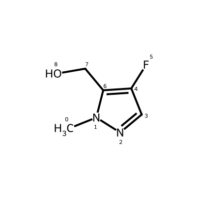 Cn1ncc(F)c1CO